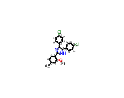 CCOc1cc(C(C)=O)ccc1C1=NC(c2ccc(Cl)cc2)C(c2ccc(Cl)cc2)N1